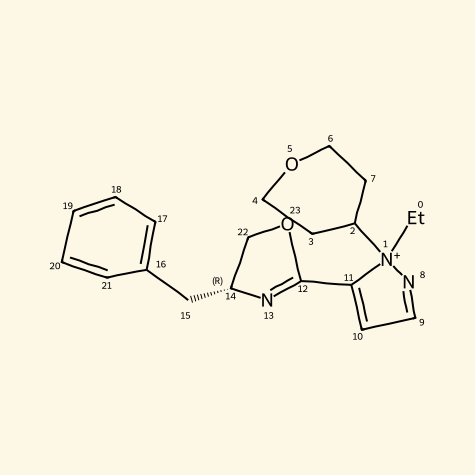 CC[N+]1(C2CCOCC2)N=CC=C1C1=N[C@H](Cc2ccccc2)CO1